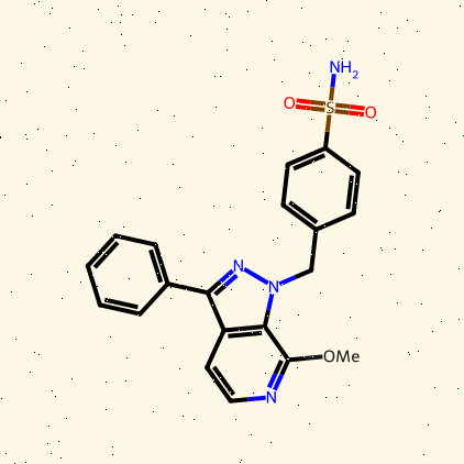 COc1nccc2c(-c3ccccc3)nn(Cc3ccc(S(N)(=O)=O)cc3)c12